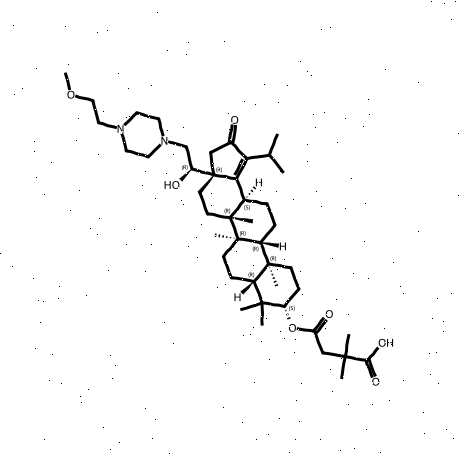 COCCN1CCN(C[C@H](O)[C@@]23CC[C@]4(C)[C@H](CC[C@@H]5[C@@]6(C)CC[C@H](OC(=O)CC(C)(C)C(=O)O)C(C)(C)[C@@H]6CC[C@]54C)C2=C(C(C)C)C(=O)C3)CC1